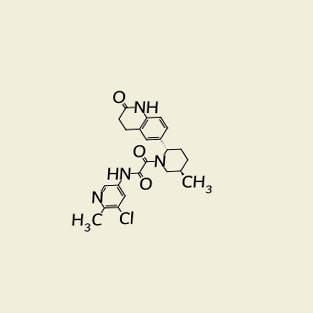 Cc1ncc(NC(=O)C(=O)N2C[C@H](C)CC[C@H]2c2ccc3c(c2)CCC(=O)N3)cc1Cl